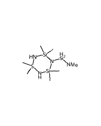 CN[SiH2]N1[Si](C)(C)NS(C)(C)N[Si]1(C)C